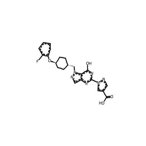 O=C(O)c1cnn(-c2nc(O)c3c(cnn3C[C@H]3CC[C@H](Oc4ccccc4F)CC3)n2)c1